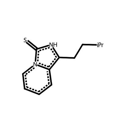 CC(C)CCc1[nH]c(=S)n2ccccc12